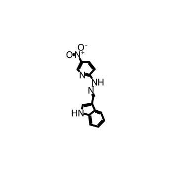 O=[N+]([O-])c1ccc(NN=Cc2c[nH]c3ccccc23)nc1